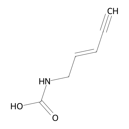 C#C/C=C/CNC(=O)O